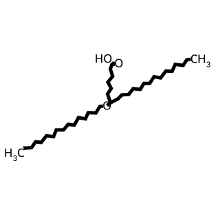 CCCCCCCCCCCCCCCCOC(CCCCCCCCCCCCCCC)CCCCCC(=O)O